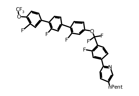 CCCCCc1ccc(-c2ccc(C(F)(F)Oc3ccc(-c4ccc(-c5ccc(OC(F)(F)F)c(F)c5)c(F)c4)c(F)c3)c(F)c2)nc1